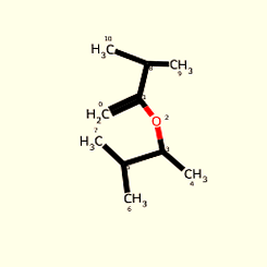 C=C(OC(C)C(C)C)C(C)C